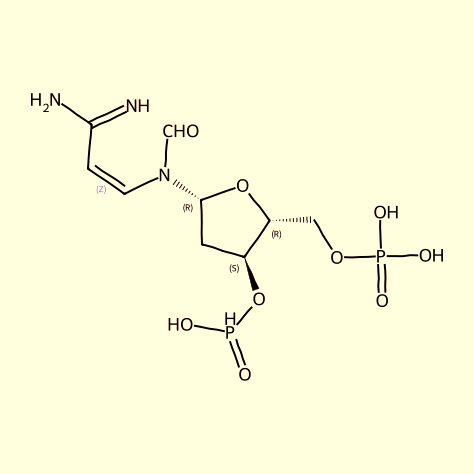 N=C(N)/C=C\N(C=O)[C@H]1C[C@H](O[PH](=O)O)[C@@H](COP(=O)(O)O)O1